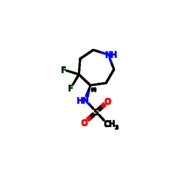 CS(=O)(=O)N[C@@H]1CCNCCC1(F)F